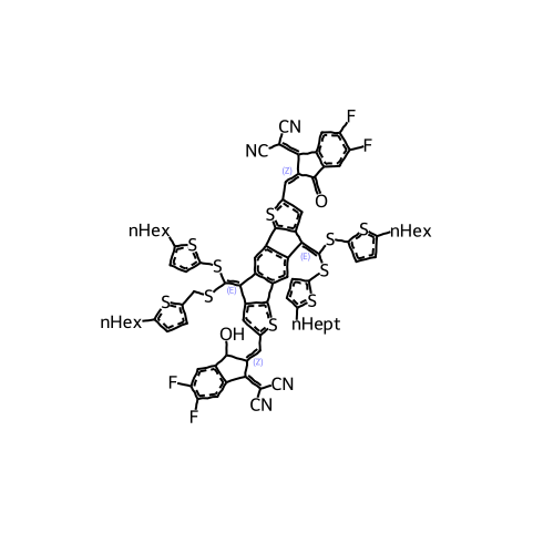 CCCCCCCc1ccc(S/C(Sc2ccc(CCCCCC)s2)=C2\c3cc4c(cc3-c3sc(/C=C5\C(=O)c6cc(F)c(F)cc6C5=C(C#N)C#N)cc32)/C(=C(/SCc2ccc(CCCCCC)s2)Sc2ccc(CCCCCC)s2)c2cc(/C=C3/C(=C(C#N)C#N)c5cc(F)c(F)cc5C3O)sc2-4)s1